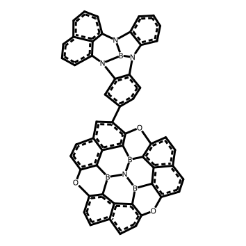 c1ccc2c(c1)N1B3N2c2cccc4cccc(c24)N3c2cc(-c3cc4ccc5c6c4c4c3Oc3ccc7ccc8c9c7c3B4N3B9c4c(ccc7ccc(c(c47)B63)O5)O8)ccc21